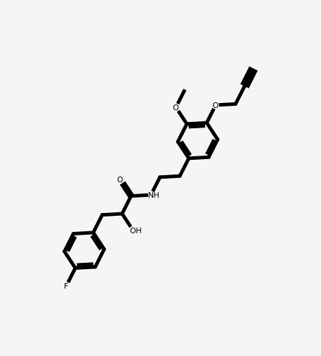 C#CCOc1ccc(CCNC(=O)C(O)Cc2ccc(F)cc2)cc1OC